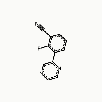 N#Cc1cccc(-c2cnccn2)c1F